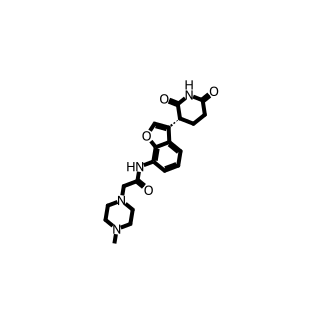 CN1CCN(CC(=O)Nc2cccc3c([C@H]4CCC(=O)NC4=O)coc23)CC1